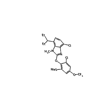 CCC(CC)c1ccc(Cl)c2nc(Oc3c(Cl)cc(OC(F)(F)F)cc3SC)n(C)c12